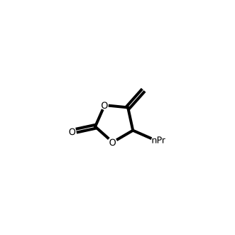 C=C1OC(=O)OC1CCC